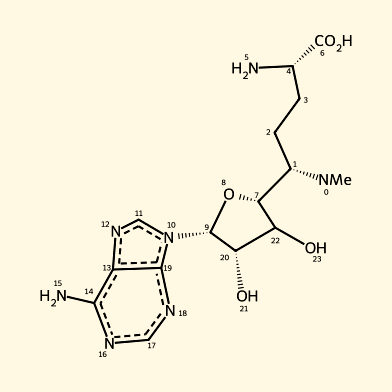 CN[C@@H](CC[C@H](N)C(=O)O)[C@H]1O[C@@H](n2cnc3c(N)ncnc32)[C@@H](O)C1O